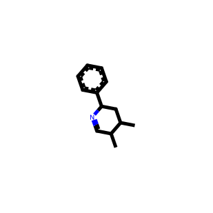 CC1C=NC(c2ccccc2)CC1C